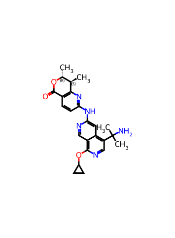 C[C@H]1OC(=O)c2ccc(Nc3cc4c(C(C)(C)N)cnc(OC5CC5)c4cn3)nc2[C@@H]1C